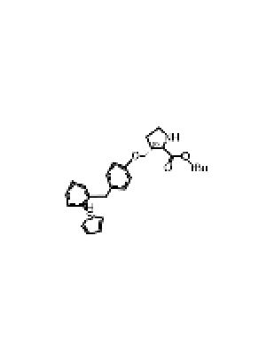 CC(C)(C)OC(=O)C1NCC[C@H]1COc1ccc(Cc2ccccc2[SH]2C=CC=C2)cc1